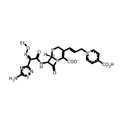 CCO/N=C(\C(=O)NC1C(=O)N2C(C(=O)[O-])=C(C=CC[n+]3ccc(C(=O)O)cc3)CS[C@@H]12)c1nsc(N)n1